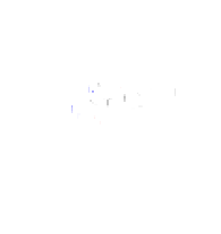 C[Si](C)(C)CCOCn1ncc(N2CCC[C@@H]2COc2cccc(C(=O)O)c2)c(C(F)(F)F)c1=O